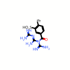 CC(C)c1ccc(C(=O)N(C(=N)N)C(N)=NC(=N)N)cc1S(=O)(=O)O